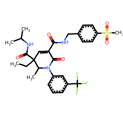 CCC1(C(=O)NC(C)C)C=C(C(=O)NCc2ccc(S(C)(=O)=O)cc2)C(=O)N(c2cccc(C(F)(F)F)c2)C1C